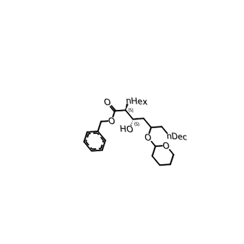 CCCCCCCCCCCC(C[C@H](O)[C@H](CCCCCC)C(=O)OCc1ccccc1)OC1CCCCO1